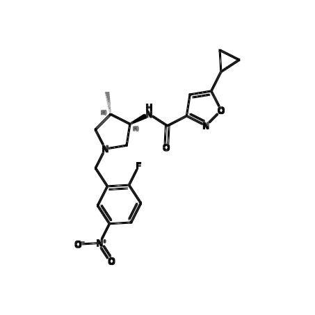 C[C@H]1CN(Cc2cc([N+](=O)[O-])ccc2F)C[C@@H]1NC(=O)c1cc(C2CC2)on1